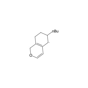 CCCCC1[CH]C2=C(CC1)COC=C2